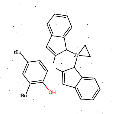 CC(C)(C)c1ccc(O)c(C(C)(C)C)c1.CC1=Cc2ccccc2[CH]1[Zr]1([CH]2C(C)=Cc3ccccc32)[CH2][CH2]1